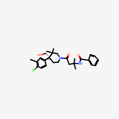 Cc1cc([C@]2(CO)CCN(C(=O)CC(C)(C)NC(=O)c3ccccc3)CC2(C)C)ccc1Cl